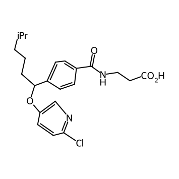 CC(C)CCCC(Oc1ccc(Cl)nc1)c1ccc(C(=O)NCCC(=O)O)cc1